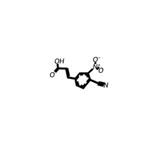 N#Cc1ccc(C=CC(=O)O)cc1[N+](=O)[O-]